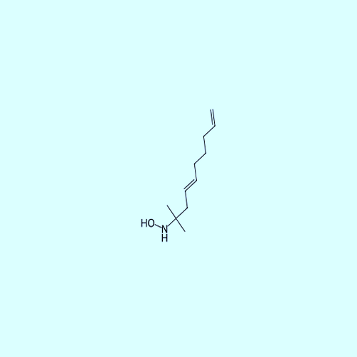 C=CCCCC=CCC(C)(C)NO